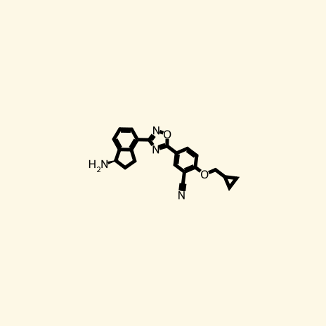 N#Cc1cc(-c2nc(-c3cccc4c3CC[C@H]4N)no2)ccc1OCC1CC1